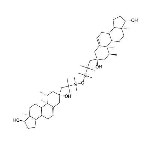 C[C@@H]1C[C@@](O)(CC(C)(C)[Si](C)(C)O[Si](C)(C)C(C)(C)C[C@]2(O)CC3=CCC4C5CC[C@H](O)[C@@]5(C)CCC4[C@@]3(C)[C@@H](C)C2)CC2=CCC3C4CC[C@@H](O)[C@@]4(C)CCC3[C@]21C